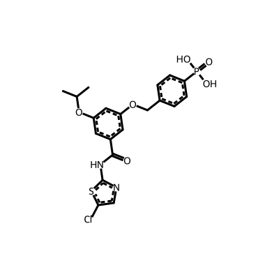 CC(C)Oc1cc(OCc2ccc(P(=O)(O)O)cc2)cc(C(=O)Nc2ncc(Cl)s2)c1